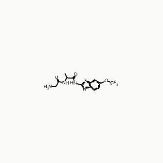 CC(NC(=O)CN)C(=O)Nc1nc2ccc(OC(F)(F)F)cc2s1